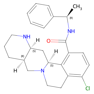 C[C@@H](NC(=O)c1ccc(Cl)c2c1[C@@H]1C[C@@H]3NCCC[C@@H]3CN1CC2)c1ccccc1